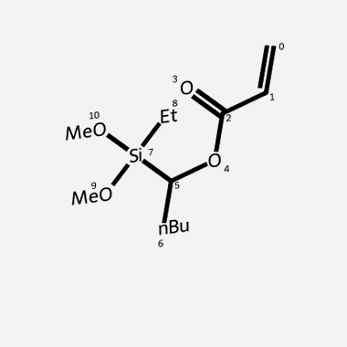 C=CC(=O)OC(CCCC)[Si](CC)(OC)OC